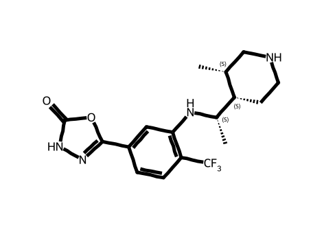 C[C@@H]1CNCC[C@@H]1[C@H](C)Nc1cc(-c2n[nH]c(=O)o2)ccc1C(F)(F)F